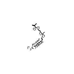 C=C(C)C(=O)OCCOC(C)OCCC(F)(F)C(F)(F)C(F)(F)C(F)(F)C(F)(F)C(F)(F)F